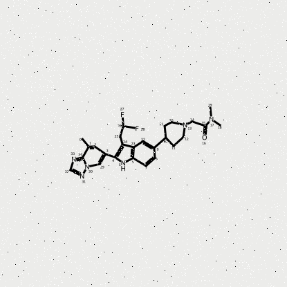 Cc1cc(-c2[nH]c3ccc(C4CCN(CC(=O)N(C)C)CC4)cc3c2CC(F)F)cn2ncnc12